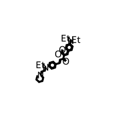 CCN(CC)c1ccc2cc(C(=O)C=Cc3ccc(N(CC)CCN4CCCCC4)cc3)c(=O)oc2c1